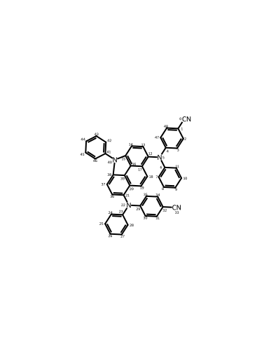 N#Cc1ccc(N(c2ccccc2)c2ccc3c4c2ccc2c(N(c5ccccc5)c5ccc(C#N)cc5)ccc(c24)n3-c2ccccc2)cc1